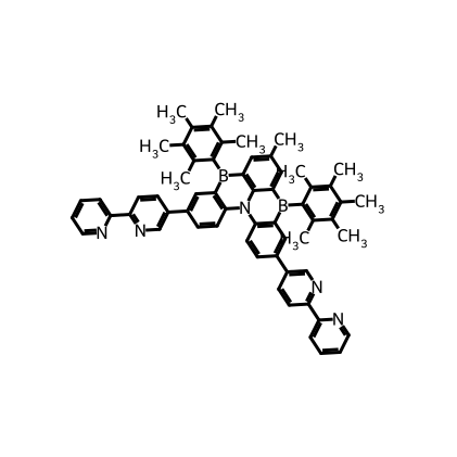 Cc1cc2c3c(c1)B(c1c(C)c(C)c(C)c(C)c1C)c1cc(-c4ccc(-c5ccccn5)nc4)ccc1N3c1ccc(-c3ccc(-c4ccccn4)nc3)cc1B2c1c(C)c(C)c(C)c(C)c1C